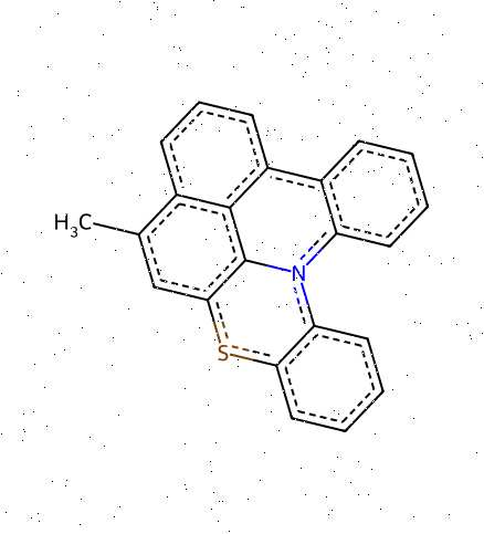 Cc1cc2sc3ccccc3n3c4ccccc4c4cccc1c4c2-3